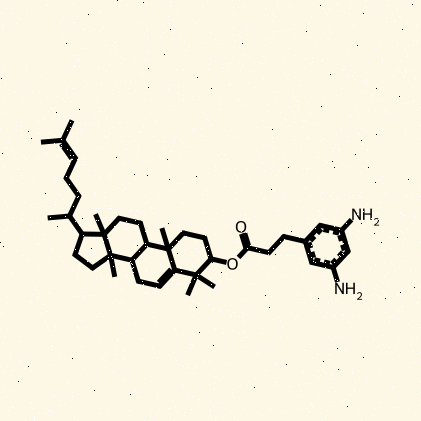 CC(C)=CCCC(C)C1CCC2(C)C3CC=C4C(C)(C)C(OC(=O)CCc5cc(N)cc(N)c5)CCC4(C)C3CCC12C